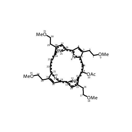 COCCC1=Cc2nc1cc(OC(C)=O)c1[nH]c(cc1CCOC)c1nc(ccc3[nH]c2cc3CCOC)C(CCOC)=C1